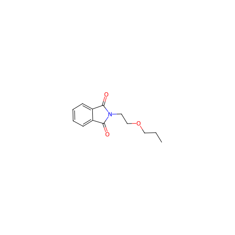 CCCOCCN1C(=O)c2ccccc2C1=O